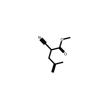 C=C(C)CC(C#N)C(=O)OC